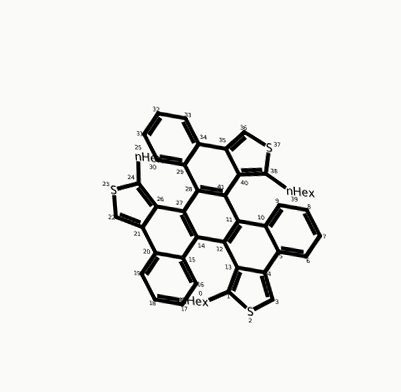 CCCCCCc1scc2c3ccccc3c3c(c12)c1c2ccccc2c2csc(CCCCCC)c2c1c1c2ccccc2c2csc(CCCCCC)c2c31